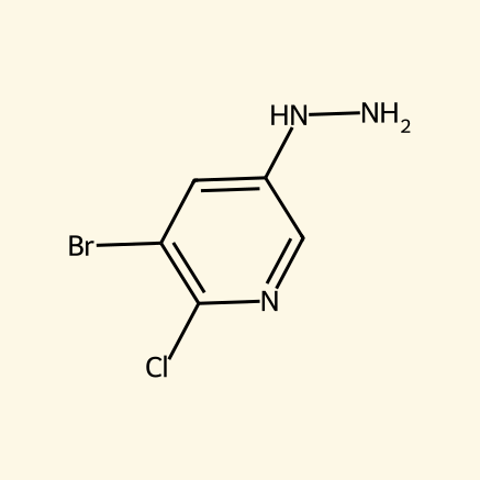 NNc1cnc(Cl)c(Br)c1